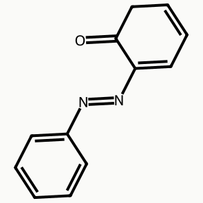 O=C1CC=CC=C1N=Nc1ccccc1